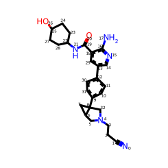 N#CCCN1CC2CC2(c2ccc(-c3cnc(N)c(C(=O)NC4CCC(O)CC4)c3)cc2)C1